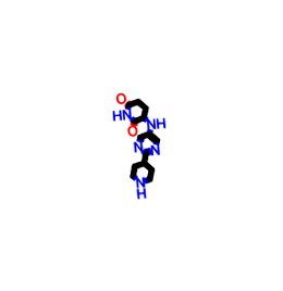 O=C1CCC(Nc2cnc(C3CCNCC3)nc2)C(=O)N1